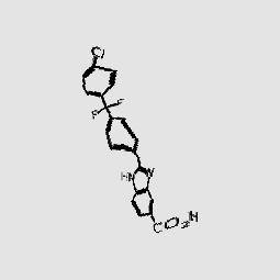 O=C(O)c1ccc2[nH]c(-c3ccc(C(F)(F)c4ccc(Cl)cc4)cc3)nc2c1